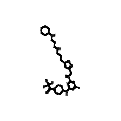 Cc1cc(NC2CCN(C(=O)C(F)(F)F)CC2)nc(NCc2cc(CCCNCCCNC3CCCCC3)on2)n1